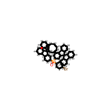 O=P(c1ccc(Br)cc1)(c1ccc2c(c1)C1(c3ccccc3-c3ccccc31)c1ccccc1-2)c1ccc2c(c1)C1(c3ccccc3-2)c2ccccc2C2C#CC1/C=C\C=C/2